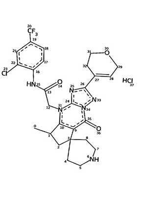 CC1CC2(CCNCC2)c2c1n(CC(=O)Nc1ccc(C(F)(F)F)cc1Cl)c1nc(C3=CCOCC3)nn1c2=O.Cl